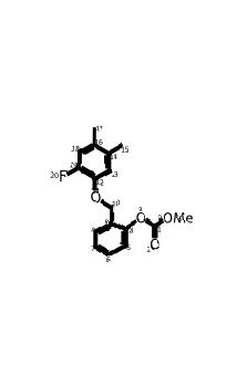 COC(=O)Oc1ccccc1COc1cc(C)c(C)cc1F